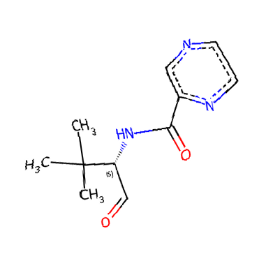 CC(C)(C)[C@@H](C=O)NC(=O)c1cnccn1